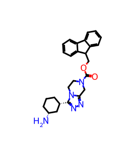 N[C@@H]1CCC[C@H](c2nnc3n2CCN(C(=O)OCC2c4ccccc4-c4ccccc42)C3)C1